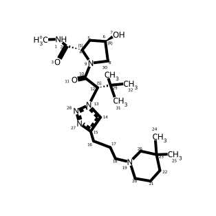 CNC(=O)[C@@H]1C[C@@H](O)CN1C(=O)[C@@H](n1cc(CCCN2CCCC(C)(C)C2)nn1)C(C)(C)C